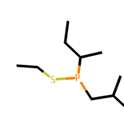 CCSP(CC(C)C)C(C)CC